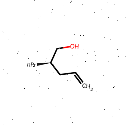 C=CC[C@H](CO)CCC